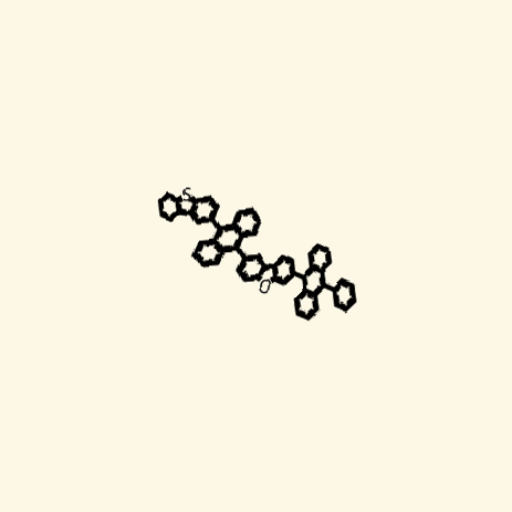 c1ccc(-c2c3ccccc3c(-c3ccc4c(c3)oc3ccc(-c5c6ccccc6c(-c6ccc7sc8ccccc8c7c6)c6ccccc56)cc34)c3ccccc23)cc1